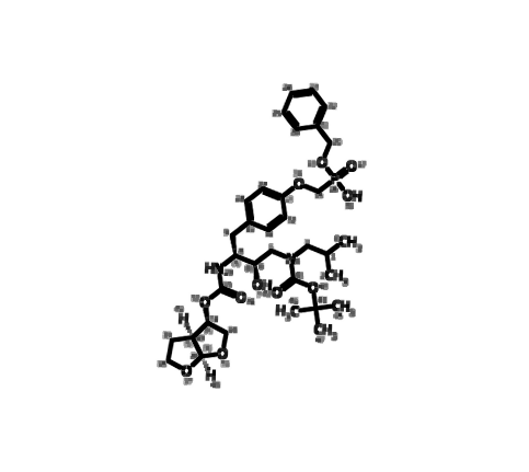 CC(C)CN(C[C@@H](O)[C@H](Cc1ccc(OCP(=O)(O)OCc2ccccc2)cc1)NC(=O)O[C@H]1CO[C@H]2OCC[C@H]21)C(=O)OC(C)(C)C